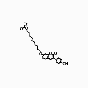 CCC(=O)OCCCCCCCCCCOc1cc2oc(=O)c(-c3ccc(C#N)cc3)cc2cn1